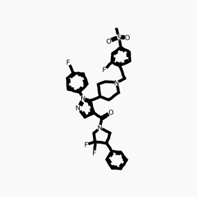 CS(=O)(=O)c1ccc(CN2CCC(c3c(C(=O)N4CC(c5ccccc5)C(F)(F)C4)cnn3-c3ccc(F)cc3)CC2)c(F)c1